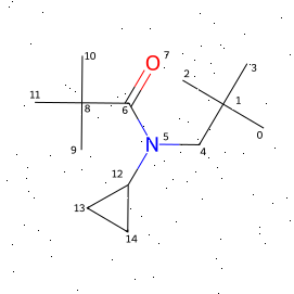 CC(C)(C)CN(C(=O)C(C)(C)C)C1CC1